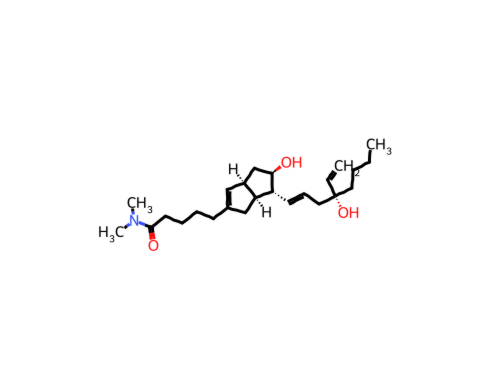 C=C[C@](O)(C/C=C/[C@@H]1[C@H]2CC(CCCCC(=O)N(C)C)=C[C@H]2C[C@H]1O)CCCC